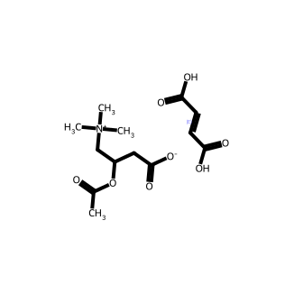 CC(=O)OC(CC(=O)[O-])C[N+](C)(C)C.O=C(O)/C=C/C(=O)O